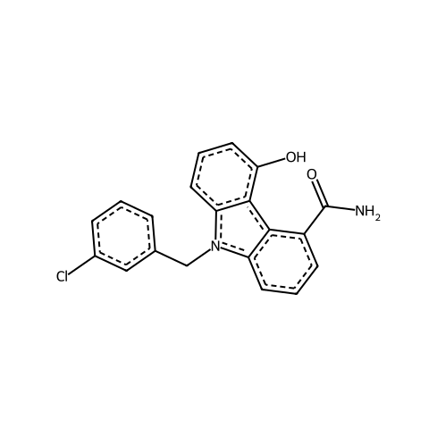 NC(=O)c1cccc2c1c1c(O)cccc1n2Cc1cccc(Cl)c1